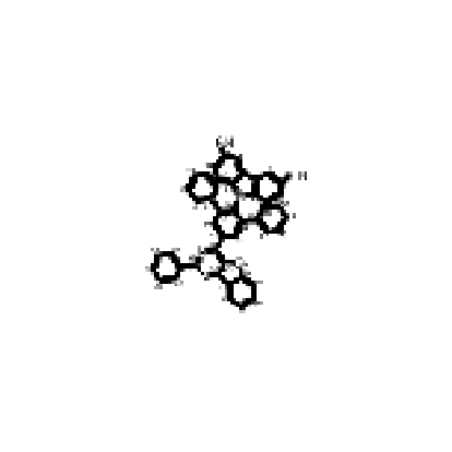 N#Cc1ccc2c(c1)c1cc(C#N)ccc1n2-c1c(-c2ccccc2)cc(-c2nc(-c3ccccc3)nc3c2oc2ccccc23)cc1-c1ccccc1